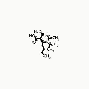 CCCCC(=C(CC)C(=O)O)N(C(C)C)C(C)C